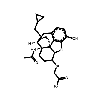 CC(=O)N[C@@]12CCC(NCC(=O)O)C3Oc4c(O)ccc5c4[C@@]31CCN(CC1CC1)[C@@H]2C5